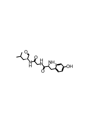 CC(C)C[C@@H](C=O)NC(=O)CNC(=O)[C@@H](N)Cc1ccc(O)cc1